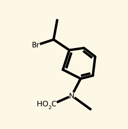 CC(Br)c1cccc(N(C)C(=O)O)c1